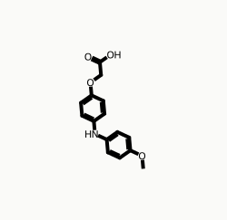 COc1ccc(Nc2ccc(OCC(=O)O)cc2)cc1